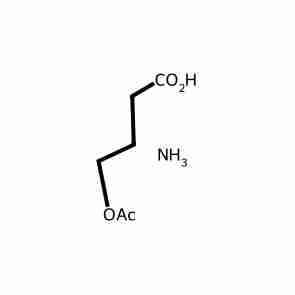 CC(=O)OCCCC(=O)O.N